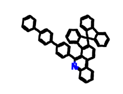 c1ccc(-c2ccc(-c3ccc(-c4nc5ccccc5c5ccc6c(c45)-c4ccccc4C64c5ccccc5-c5ccccc54)cc3)cc2)cc1